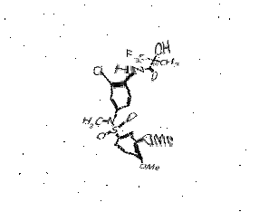 COc1ccc(S(=O)(=O)N(C)c2ccc(NC(=O)[C@@](C)(O)C(F)(F)F)c(Cl)c2)cc1OC